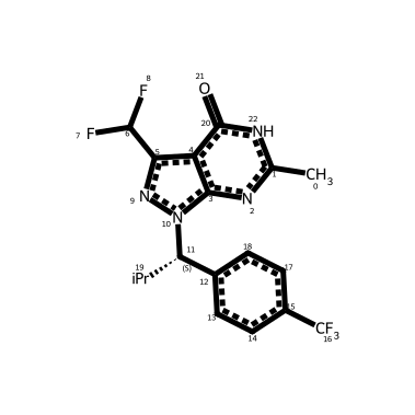 Cc1nc2c(c(C(F)F)nn2[C@H](c2ccc(C(F)(F)F)cc2)C(C)C)c(=O)[nH]1